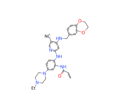 C=CC(=O)Nc1cc(N2CCN(CC)CC2)ccc1Nc1cc(NCc2ccc3c(c2)OCCO3)c(C#N)cn1